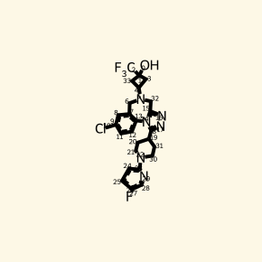 OC1(C(F)(F)F)CC(N2Cc3cc(Cl)ccc3-n3c(nnc3C3CCN(c4ccc(F)cn4)CC3)C2)C1